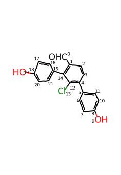 O=Cc1ccc(-c2ccc(O)cc2)c(Cl)c1-c1ccc(O)cc1